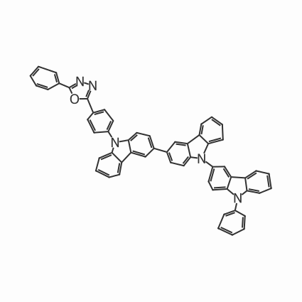 c1ccc(-c2nnc(-c3ccc(-n4c5ccccc5c5cc(-c6ccc7c(c6)c6ccccc6n7-c6ccc7c(c6)c6ccccc6n7-c6ccccc6)ccc54)cc3)o2)cc1